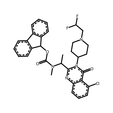 CC(c1nc2cccc(Cl)c2c(=O)n1C1CCN(CC(F)F)CC1)N(C)C(=O)OC1c2ccccc2-c2ccccc21